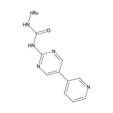 CCCCNC(=O)Nc1ncc(-c2cccnc2)cn1